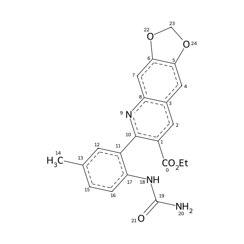 CCOC(=O)c1cc2cc3c(cc2nc1-c1cc(C)ccc1NC(N)=O)OCO3